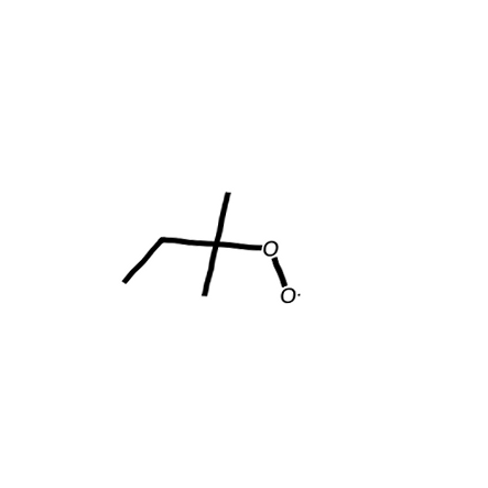 CCC(C)(C)O[O]